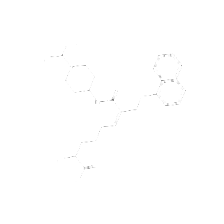 CC(CCCC=C(COc1cccc2ccccc12)C(=O)NC1CCN(C(C)C)CC1)C(=O)O